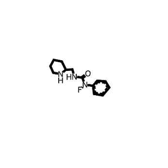 O=C(NCC1CCCCN1)N(F)c1ccccc1